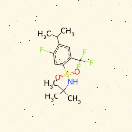 CC(C)c1cc(C(F)(F)F)c(S(=O)(=O)NC(C)(C)C)cc1F